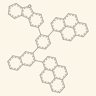 c1ccc2cc(-c3ccc4ccc5cccc6ccc3c4c56)c(-c3ccc(-c4ccc5ccc6cccc7ccc4c5c67)c(-c4ccc5oc6ccccc6c5c4)c3)cc2c1